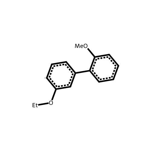 CCOc1[c]ccc(-c2ccccc2OC)c1